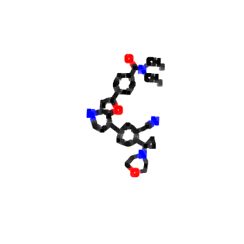 CN(C)C(=O)c1ccc(-c2cc3nccc(-c4ccc(C5(N6CCOCC6)CC5)c(C#N)c4)c3o2)cc1